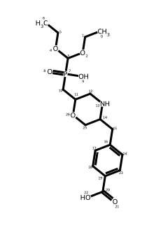 CCOC(OCC)P(=O)(O)CC1CNC(Cc2ccc(C(=O)O)cc2)CO1